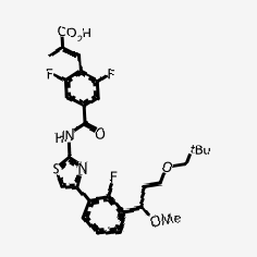 COC(CCOCC(C)(C)C)c1cccc(-c2csc(NC(=O)c3cc(F)c(C=C(C)C(=O)O)c(F)c3)n2)c1F